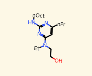 CCCCCCCCNc1nc(CCC)cc(N(CC)CCO)n1